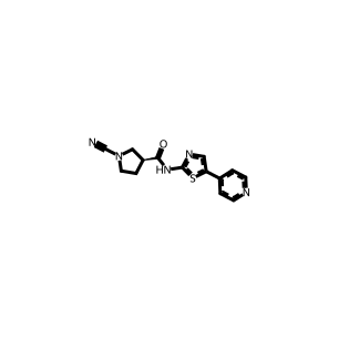 N#CN1CC[C@H](C(=O)Nc2ncc(-c3ccncc3)s2)C1